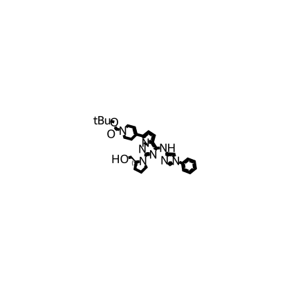 CC(C)(C)OC(=O)N1CC=C(c2ccc3c(Nc4cn(-c5ccccc5)cn4)nc(N4CCC[C@H]4CO)nn23)CC1